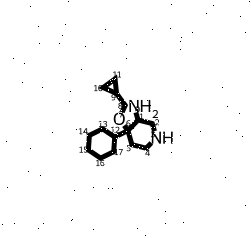 NC1CNCCC1(OCC1CC1)C1CCCCC1